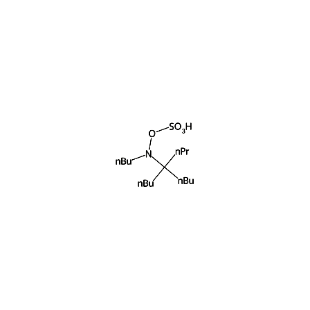 CCCCN(OS(=O)(=O)O)C(CCC)(CCCC)CCCC